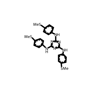 CSc1ccc(Nc2nc(Nc3ccc(SC)cc3)nc(Nc3ccc(SC)cc3)n2)cc1